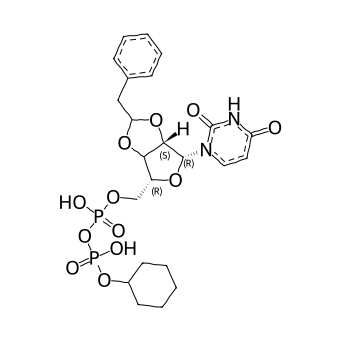 O=c1ccn([C@@H]2O[C@H](COP(=O)(O)OP(=O)(O)OC3CCCCC3)C3OC(Cc4ccccc4)O[C@@H]32)c(=O)[nH]1